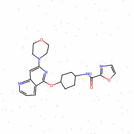 O=C(NC1CCC(Oc2nc(N3CCOCC3)cc3ncccc23)CC1)c1ncco1